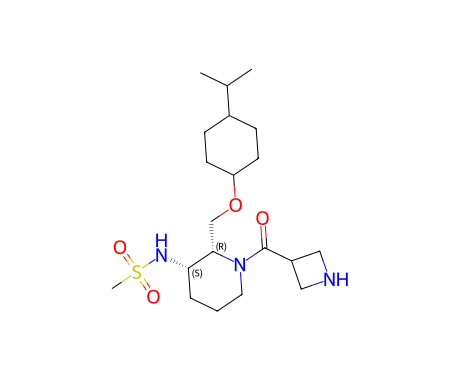 CC(C)C1CCC(OC[C@H]2[C@@H](NS(C)(=O)=O)CCCN2C(=O)C2CNC2)CC1